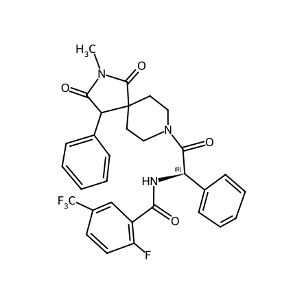 CN1C(=O)C(c2ccccc2)C2(CCN(C(=O)[C@H](NC(=O)c3cc(C(F)(F)F)ccc3F)c3ccccc3)CC2)C1=O